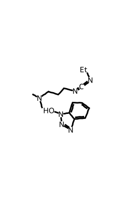 CCN=C=NCCCN(C)C.On1nnc2ccccc21